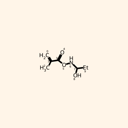 C=C(C)C(=O)ONC(O)CC